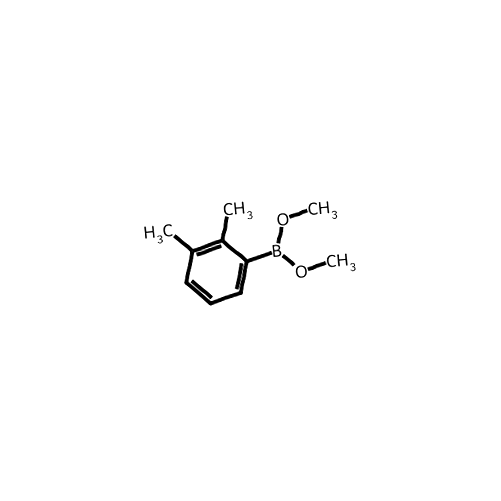 COB(OC)c1cccc(C)c1C